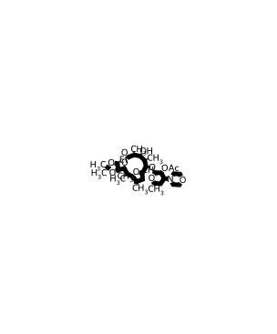 CC[C@H]1OC(C)(C)O[C@@]1(C)[C@@H]1OC(=O)[C@H](C)[C@@H](O)[C@H](C)[C@@H](O[C@@H]2OC(C)CC(N3CCOCC3)C2OC(C)=O)[C@@]2(C)CC(C)C(O2)[C@@H]1C